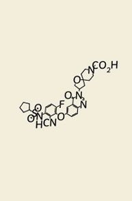 N#Cc1c(NS(=O)(=O)C2CCCC2)ccc(F)c1Oc1ccc2ncn(C3COC4(CCN(C(=O)O)CC4)C3)c(=O)c2c1